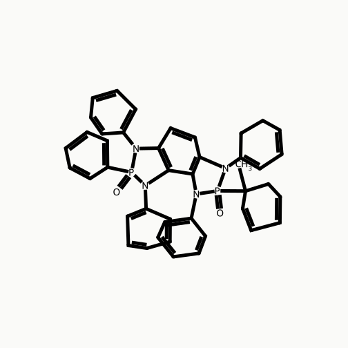 CC1(P2(=O)N(C3=CC=CCC3)c3ccc4c(c3N2c2ccccc2)N(c2ccccc2)P(=O)(c2ccccc2)N4c2ccccc2)C=CC=CC1